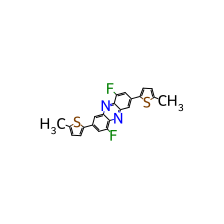 Cc1ccc(-c2cc(F)c3nc4cc(-c5ccc(C)s5)cc(F)c4nc3c2)s1